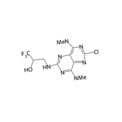 CNc1nc(NCC(O)C(F)(F)F)nc2c(NC)nc(Cl)nc12